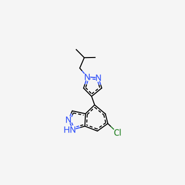 CC(C)Cn1cc(-c2cc(Cl)cc3[nH]ncc23)cn1